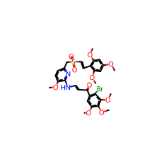 COc1cc(OC)c(C=CS(=O)(=O)Cc2ccc(OC)c(NC=CC(=O)c3cc(OC)c(OC)c(OC)c3Br)n2)c(OC)c1